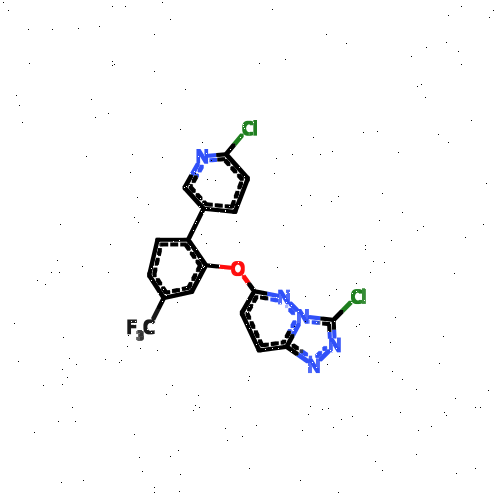 FC(F)(F)c1ccc(-c2ccc(Cl)nc2)c(Oc2ccc3nnc(Cl)n3n2)c1